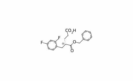 O=C(O)CC[C@@H](Cc1ccc(F)cc1F)C(=O)OCc1ccccc1